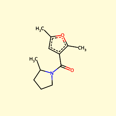 Cc1cc(C(=O)N2CCCC2C)c(C)o1